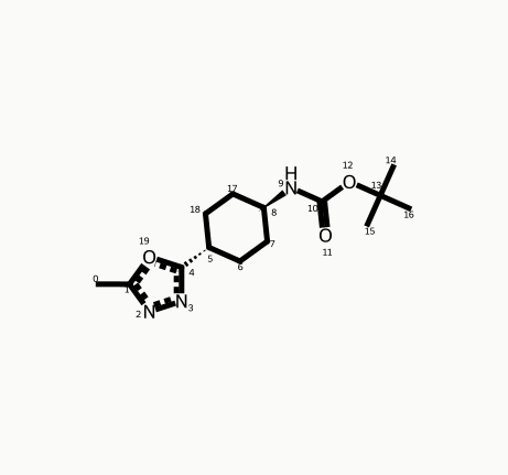 Cc1nnc([C@H]2CC[C@H](NC(=O)OC(C)(C)C)CC2)o1